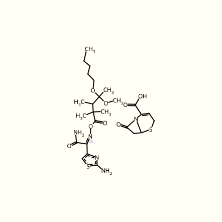 CCCCCOC(C)(OC)C(C)C(C)(C)C(=O)O/N=C(\C(N)=O)c1csc(N)n1.O=C(O)C1=CCSC2CC(=O)N12